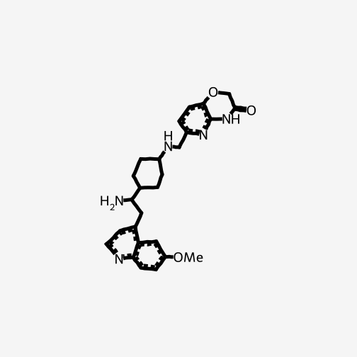 COc1ccc2nccc(CC(N)C3CCC(NCc4ccc5c(n4)NC(=O)CO5)CC3)c2c1